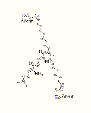 CCCCC/C=C\C/C=C\CCCCCCCCN(CCCCCCCC/C=C\C/C=C\CCCCC)C(=O)[C@@H](N)COC(=O)[C@@H](N)CCCN(C)C